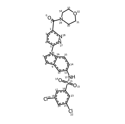 O=C(c1ccc(-n2ccc3cc(NS(=O)(=O)c4cc(Cl)cc(Cl)c4)ccc32)nn1)N1CCOCC1